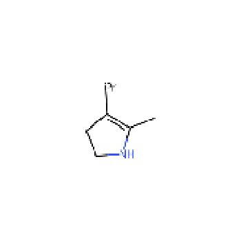 CC1=C(C(C)C)CCN1